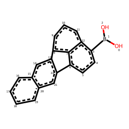 OB(O)c1ccc2c3c(cccc13)-c1cc3ccccc3cc1-2